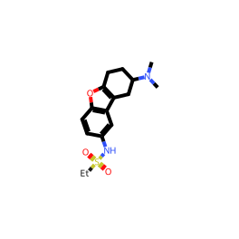 CCS(=O)(=O)Nc1ccc2oc3c(c2c1)CC(N(C)C)CC3